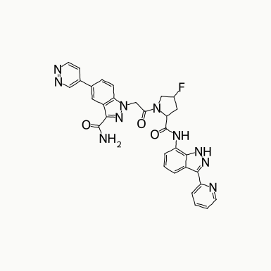 NC(=O)c1nn(CC(=O)N2CC(F)CC2C(=O)Nc2cccc3c(-c4ccccn4)n[nH]c23)c2ccc(-c3ccnnc3)cc12